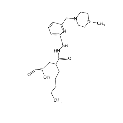 CCCCCC(CN(O)C=O)C(=O)NNc1cccc(CN2CCN(C)CC2)n1